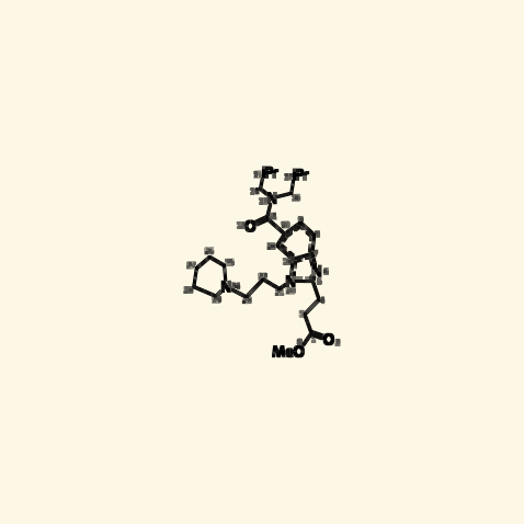 COC(=O)CCc1nc2ccc(C(=O)N(CC(C)C)CC(C)C)cc2n1CCCN1CCCCC1